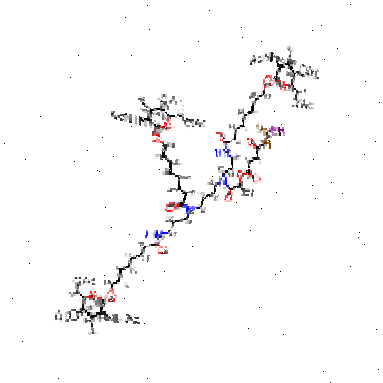 CCC(OC(=O)CCC(=O)C[SH](=P)=S)C(=O)N(CCCCN(CCCNC(=O)CCCCCCCO[C@@H]1OC(COC(C)=O)[C@H](OC(C)=O)[C@H](C)C1NC(C)=O)C(=O)CCCCCCCO[C@@H]1OC(COC(C)=O)[C@H](OC(C)=O)[C@H](C)C1NC(C)=O)CCCNC(=O)CCCCCCCO[C@@H]1OC(COC(C)=O)[C@H](OC(C)=O)[C@H](C)C1NC(C)=O